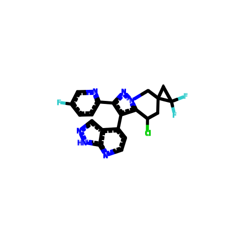 Fc1ccc(-c2nn3c(c2-c2ccnc4[nH]ncc24)C(Cl)CC2(C3)CC2(F)F)nc1